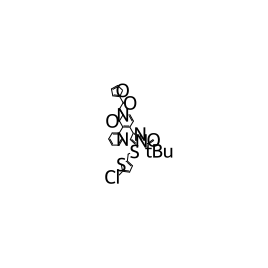 CC(C)(C)C(=O)n1nc(-c2ccn(CC(=O)c3ccco3)c(=O)c2-c2ccccn2)cc1SCc1ccc(Cl)s1